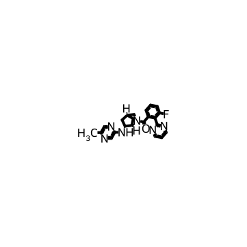 Cc1cnc(N[C@@H]2C[C@@H]3C[C@@H]2N(C(=O)c2cccc(F)c2-c2ncccn2)C3)cn1